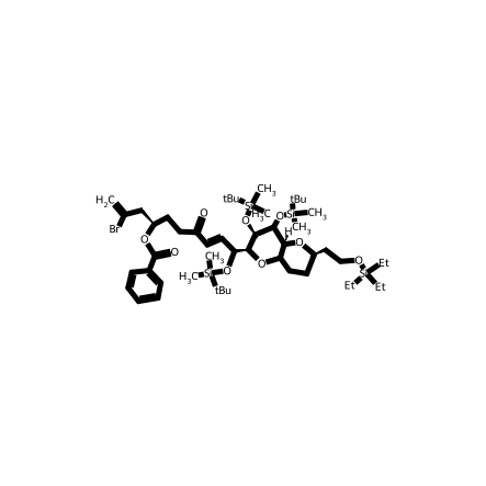 C=C(Br)C[C@@H](CCC(=O)/C=C/C(O[Si](C)(C)C(C)(C)C)[C@@H]1OC2CC[C@H](CCO[Si](CC)(CC)CC)O[C@@H]2C(O[Si](C)(C)C(C)(C)C)[C@@H]1O[Si](C)(C)C(C)(C)C)OC(=O)c1ccccc1